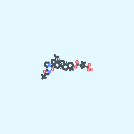 C=C(C)[C@@H]1CC[C@]2(C(=O)N3CCC[C@H]3c3ncc(C(C)(C)C)o3)CC[C@]3(C)[C@H](CCC4[C@@]5(C)CC[C@H](OC(=O)[C@H]6C[C@@H](C(=O)O)C6(C)C)C(C)(C)C5CC[C@]43C)C12